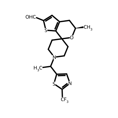 CC(c1cnc(C(F)(F)F)s1)N1CCC2(CC1)O[C@H](C)Cc1cc(C=O)sc12